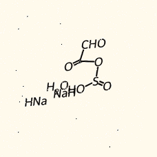 O.O=CC(=O)OS(=O)O.[NaH].[NaH]